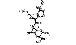 CCCON=C(C(=O)NC1C(=O)N2C=C(C(=O)O)C(C)S[C@H]12)c1cccc(NC=O)n1